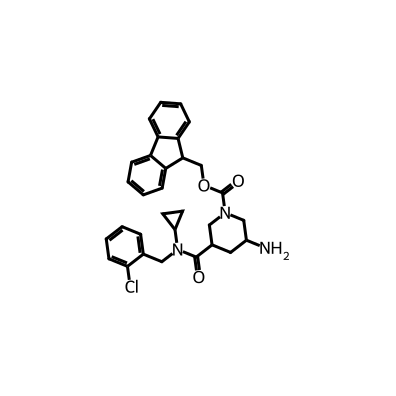 NC1CC(C(=O)N(Cc2ccccc2Cl)C2CC2)CN(C(=O)OCC2c3ccccc3-c3ccccc32)C1